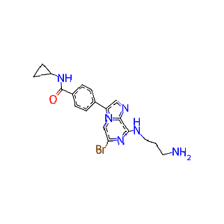 NCCCNc1nc(Br)cn2c(-c3ccc(C(=O)NC4CC4)cc3)cnc12